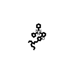 C/C=C\C=C/C(/C=C\C)=C/C=C/c1ccc2c(c1)oc1cccc(-c3nc(-c4ccccc4)nc(-c4ccccc4)n3)c12